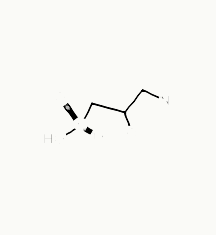 [N]CC(O)CS(=O)(=O)O